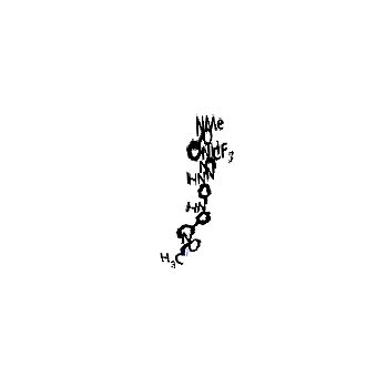 C/C=C/C(=O)N1CCCC(c2cccc(NCc3ccc(Nc4ncc(C(F)(F)F)c(Nc5ccccc5C(=O)NC)n4)cc3)c2)C1